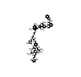 Cc1c(-c2ccc(N3CCc4cccc(C(=O)Nc5nc6ccccc6s5)c4C3)nc2C(=O)O)cnn1CC12CC3(C)CC(C)(C1)CC(OCCOCCN(CCS(=O)(=O)O)C(=O)OCc1ccc(N(C(=O)[C@@H](NC(=O)CCCCCN4C(=O)C=CC4=O)C(C)C)[C@@H](CCCNC(N)=O)C(N)=O)cc1)(C3)C2